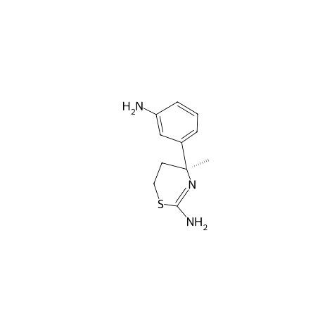 C[C@@]1(c2cccc(N)c2)CCSC(N)=N1